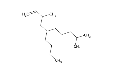 C=CC(C)CC(CCCC)CCCC(C)C